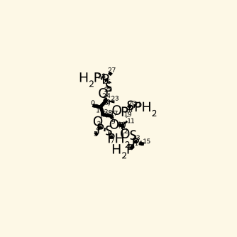 CC([C@H](OP(C)SP)C(O[C@@H](C)OSP(C)P)OP(C)SP)[C@H](C)OSP(C)P